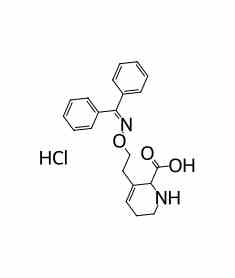 Cl.O=C(O)C1NCCC=C1CCON=C(c1ccccc1)c1ccccc1